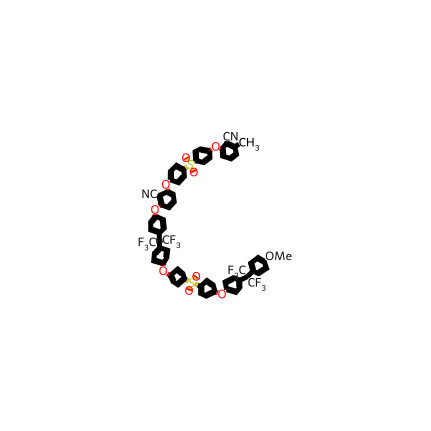 COc1ccc(C(c2ccc(Oc3ccc(S(=O)(=O)c4ccc(Oc5ccc(C(c6ccc(Oc7cccc(Oc8ccc(S(=O)(=O)c9ccc(Oc%10cccc(C)c%10C#N)cc9)cc8)c7C#N)cc6)(C(F)(F)F)C(F)(F)F)cc5)cc4)cc3)cc2)(C(F)(F)F)C(F)(F)F)cc1